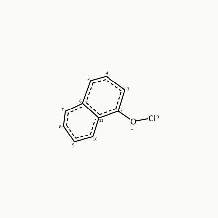 ClOc1cccc2ccccc12